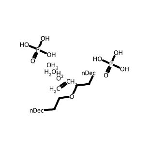 C=C.CCCCCCCCCCCCOCCCCCCCCCCCC.O.O.O.O=P(O)(O)O.O=P(O)(O)O